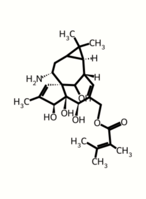 CC1=C[C@]23C(O)[C@@H](C=C(COC(=O)C(C)=C(C)C)[C@@H](O)[C@]2(O)[C@H]1O)[C@H]1C(C[C@H]3N)C1(C)C